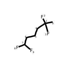 CC(F)(F)[CH]CCC(F)F